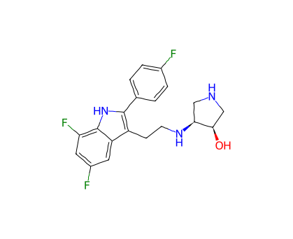 O[C@@H]1CNC[C@@H]1NCCc1c(-c2ccc(F)cc2)[nH]c2c(F)cc(F)cc12